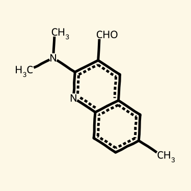 Cc1ccc2nc(N(C)C)c(C=O)cc2c1